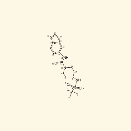 CC(C)(C)S(=O)(=O)NC1CCN(C(=O)Nc2ccc3sccc3c2)CC1